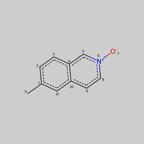 Cc1ccc2c[n+]([O-])ccc2c1